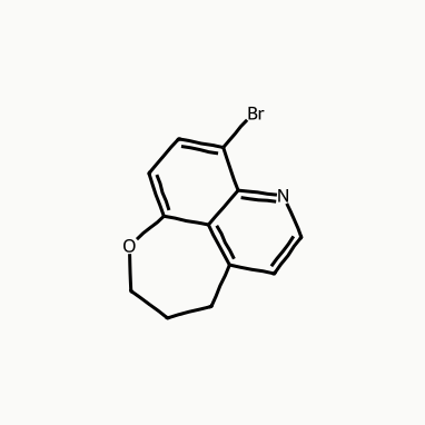 Brc1ccc2c3c(ccnc13)CCCO2